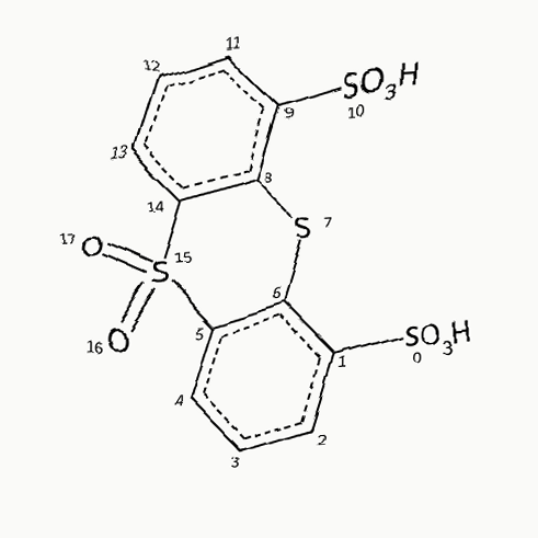 O=S(=O)(O)c1cccc2c1Sc1c(S(=O)(=O)O)cccc1S2(=O)=O